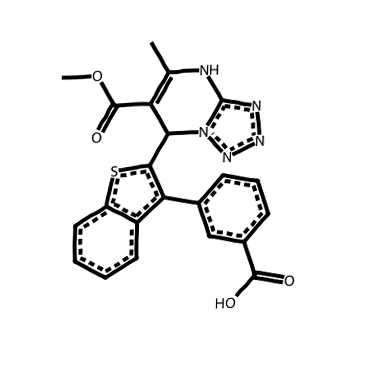 COC(=O)C1=C(C)Nc2nnnn2C1c1sc2ccccc2c1-c1cccc(C(=O)O)c1